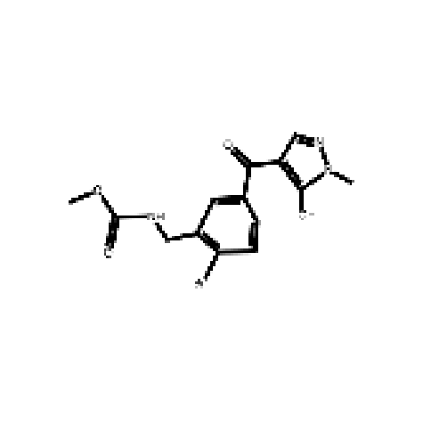 COC(=O)NCc1cc(C(=O)c2cnn(C)c2O)ccc1Br